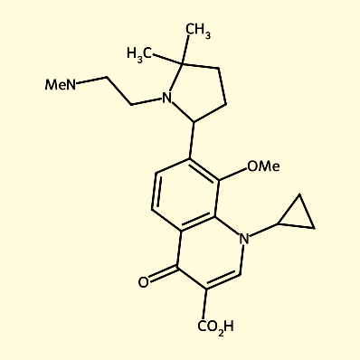 CNCCN1C(c2ccc3c(=O)c(C(=O)O)cn(C4CC4)c3c2OC)CCC1(C)C